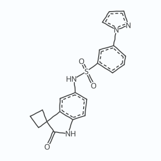 O=C1Nc2ccc(NS(=O)(=O)c3cccc(-n4cccn4)c3)cc2C12CCC2